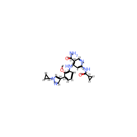 COc1c(Nc2cc(NC(=O)C3CC3)ncc2C(N)=O)cccc1-c1cnn(C2CC2)c1